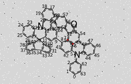 c1ccc(N(c2ccc(-c3cc4c5c(c3)c3ccccc3n5-c3ccccc3C43c4ccccc4-c4ccccc43)cc2)c2ccccc2-c2ccc3c(c2)oc2ccccc23)cc1